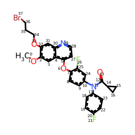 COc1cc2c(Oc3ccc(N(C(=O)C4CC4)c4ccc(F)cc4)cc3F)ccnc2cc1OCCCBr